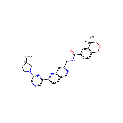 CO[C@@H]1CCN(c2cncc(-c3ccc4cnc(CNC(=O)c5ccc6c(c5)[C@](C)(C#N)COC6)cc4n3)n2)C1